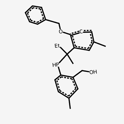 CCC(C)(Pc1ccc(C)cc1CO)c1cc(C)ccc1OCc1ccccc1